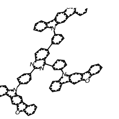 c1cc(-c2ccc3nc(-c4ccc(-n5c6ccccc6c6cc7oc8ccccc8c7cc65)cc4)nc(-c4cccc(-n5c6ccccc6c6cc7oc8ccccc8c7cc65)c4)c3c2)cc(-n2c3ccccc3c3cc4oc5ccccc5c4cc32)c1